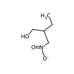 CCC(CO)C[N+](=O)[O-]